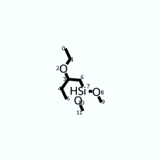 CCOC(CC)C[SiH](OC)OC